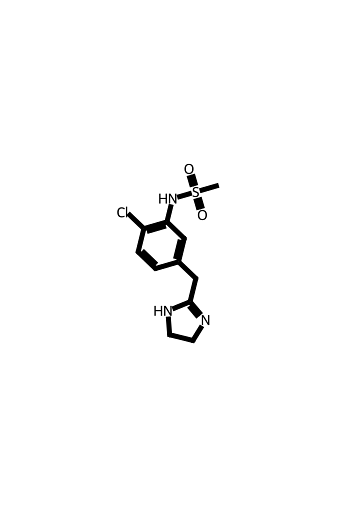 CS(=O)(=O)Nc1cc(CC2=NCCN2)ccc1Cl